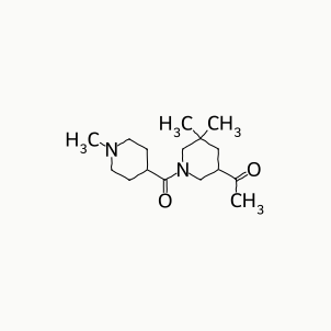 CC(=O)C1CN(C(=O)C2CCN(C)CC2)CC(C)(C)C1